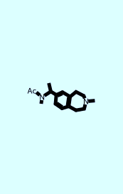 CC(=O)N(C)C(C)c1ccc2c(c1)CCN(C)CC2